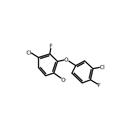 [O]c1ccc(Cl)c(F)c1Oc1ccc(F)c(Cl)c1